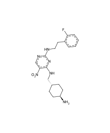 N[C@H]1CC[C@H](CNc2nc(NCCc3ccccc3F)ncc2[N+](=O)[O-])CC1